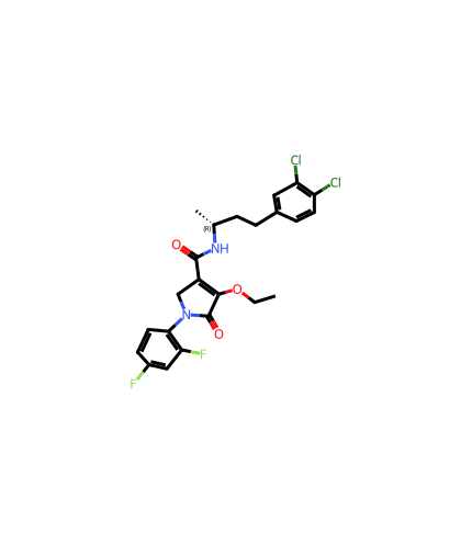 CCOC1=C(C(=O)N[C@H](C)CCc2ccc(Cl)c(Cl)c2)CN(c2ccc(F)cc2F)C1=O